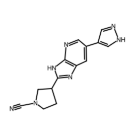 N#CN1CCC(c2nc3cc(-c4cn[nH]c4)cnc3[nH]2)C1